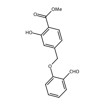 COC(=O)c1ccc(COc2ccccc2C=O)cc1O